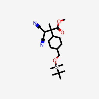 COC(=O)C(C)(C(C#N)C#N)C1CCC(CO[Si](C)(C)C(C)(C)C)CC1